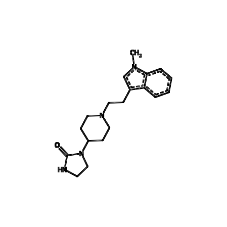 Cn1cc(CCN2CCC(N3CCNC3=O)CC2)c2ccccc21